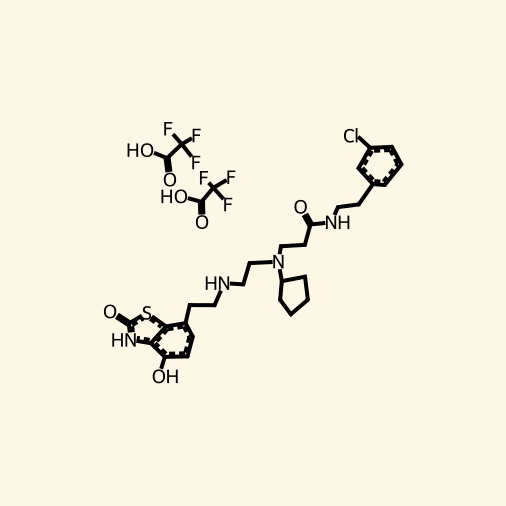 O=C(CCN(CCNCCc1ccc(O)c2[nH]c(=O)sc12)C1CCCC1)NCCc1cccc(Cl)c1.O=C(O)C(F)(F)F.O=C(O)C(F)(F)F